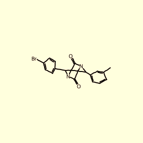 Cc1cccc(C2N3C(=O)C45C(c6ccc(Br)cc6)N4C(=O)C235)c1